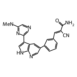 CNc1cncc(-c2c[nH]c3ncc(-c4cccc(/C=C(\C#N)C(N)=O)c4)cc23)n1